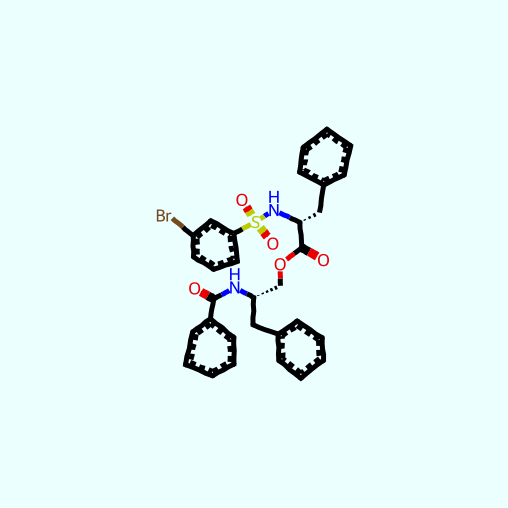 O=C(N[C@H](COC(=O)[C@@H](Cc1ccccc1)NS(=O)(=O)c1cccc(Br)c1)Cc1ccccc1)c1ccccc1